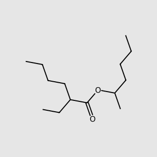 CCCCC(C)OC(=O)C(CC)CCCC